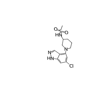 CS(=O)(=O)NC1CCCN(c2cc(Cl)cc3[nH]ncc23)C1